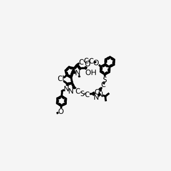 COc1ccc(Cn2nc3c(c2C)-c2c(Cl)ccc4c(c(C(=O)O)n(C)c24)CCCOc2cc(cc4ccccc24)SCc2cc(nn2C(C)C)CSC3)cc1